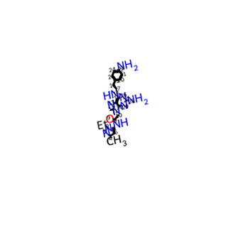 CCn1nc(C)cc1NC(=O)Cn1cnc2c(NCCc3ccc(N)cc3)nc(N)nc21